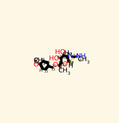 CNC1=N[C@@H]2[C@@H](O)[C@H](O)[C@@H]([C@H](C)OCc3ccc(OC)cc3)O[C@@H]2S1